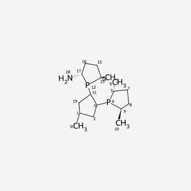 CC1CC(P2[C@H](C)CC[C@H]2C)C(P2[C@H](C)CC[C@H]2N)C1